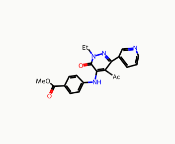 CCn1nc(-c2cccnc2)c(C(C)=O)c(Nc2ccc(C(=O)OC)cc2)c1=O